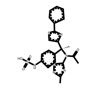 CC(=O)N(c1nc(C)no1)[C@@](C)(c1ccc(NS(=O)(=O)O)cc1)c1csc(-c2ccccc2)n1